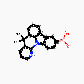 CC1(C)c2cccnc2-n2c3ccc(B(O)O)cc3c3cccc1c32